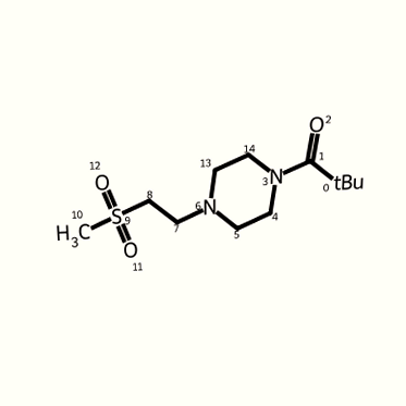 CC(C)(C)C(=O)N1CCN(CCS(C)(=O)=O)CC1